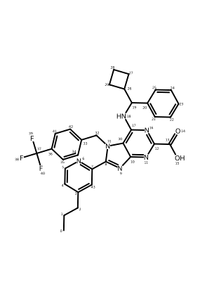 CCCc1ccnc(-c2nc3nc(C(=O)O)nc(NC(c4ccccc4)C4CCC4)c3n2Cc2ccc(C(F)(F)F)cc2)c1